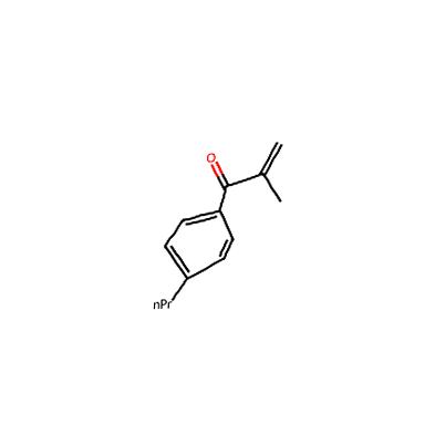 C=C(C)C(=O)c1ccc(CCC)cc1